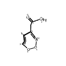 O=C(O)C1=NOOC=C1